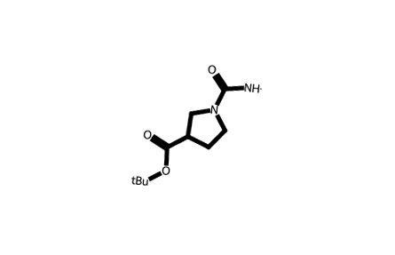 CC(C)(C)OC(=O)C1CCN(C([NH])=O)C1